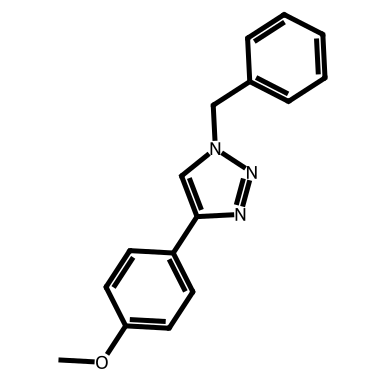 COc1ccc(-c2cn(Cc3ccccc3)nn2)cc1